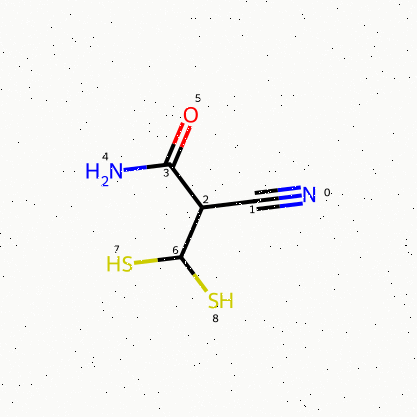 N#CC(C(N)=O)C(S)S